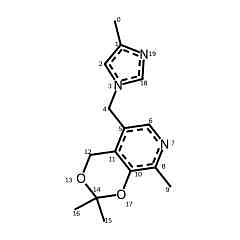 Cc1cn(Cc2cnc(C)c3c2COC(C)(C)O3)cn1